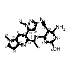 CC(Nc1nc(O)nc(N)c1C#N)c1nc2ccn(C)c2cc1-c1ccnn1C